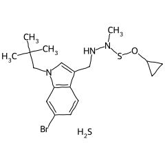 CN(NCc1cn(CC(C)(C)C)c2cc(Br)ccc12)SOC1CC1.S